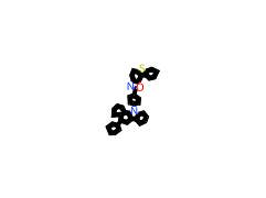 c1ccc(-c2cc3c4ccccc4n(-c4ccc(-c5nc6ccc7sc8ccccc8c7c6o5)cc4)c3c3ccccc23)cc1